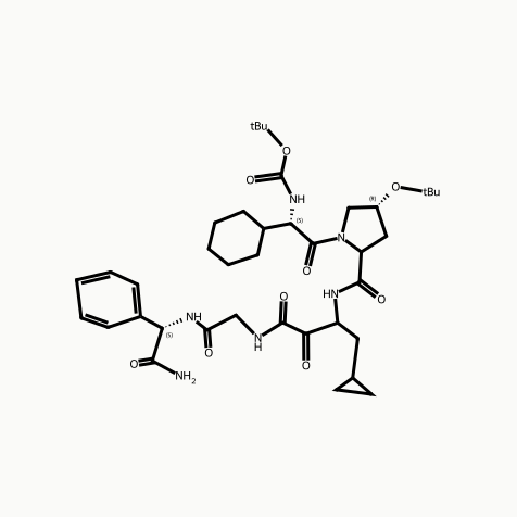 CC(C)(C)OC(=O)N[C@H](C(=O)N1C[C@H](OC(C)(C)C)CC1C(=O)NC(CC1CC1)C(=O)C(=O)NCC(=O)N[C@H](C(N)=O)c1ccccc1)C1CCCCC1